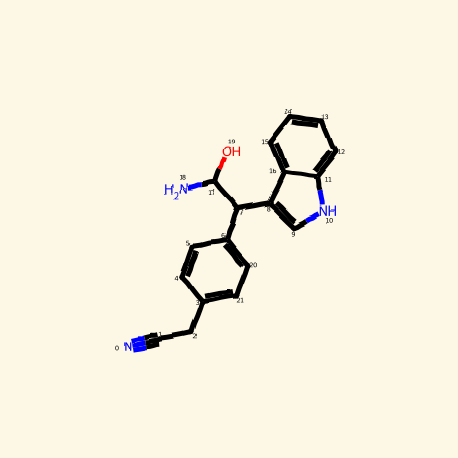 N#CCc1ccc(C(c2c[nH]c3ccccc23)C(N)O)cc1